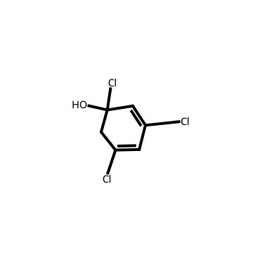 OC1(Cl)C=C(Cl)C=C(Cl)C1